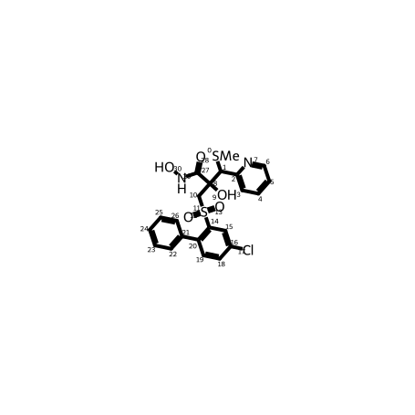 CSC(c1ccccn1)C(O)(CS(=O)(=O)c1cc(Cl)ccc1-c1ccccc1)C(=O)NO